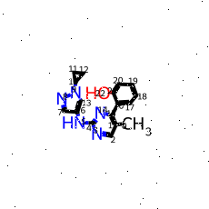 Cc1cnc(Nc2cnn(C3CC3)c2)nc1-c1ccccc1O